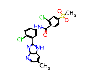 Cc1cnc2nc(-c3cc(NC(=O)c4ccc(S(C)(=O)=O)cc4Cl)ccc3Cl)[nH]c2c1